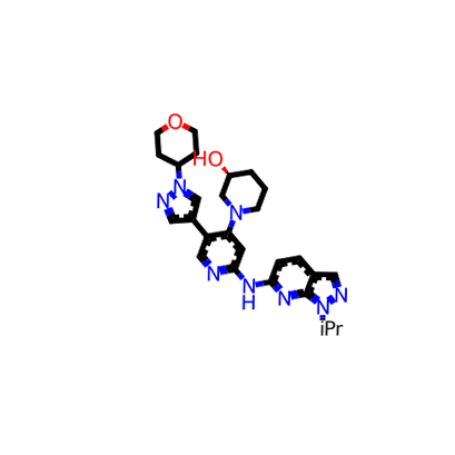 CC(C)n1ncc2ccc(Nc3cc(N4CCC[C@H](O)C4)c(-c4cnn(C5CCOCC5)c4)cn3)nc21